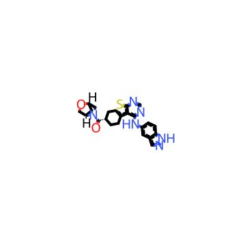 O=C([C@H]1CCc2c(sc3ncnc(Nc4ccc5[nH]ncc5c4)c23)C1)N1C[C@H]2C[C@@H]1CO2